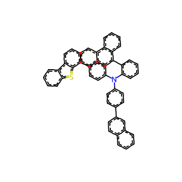 c1ccc(N(c2ccc(-c3ccc4ccccc4c3)cc2)c2ccc(-c3cccc4c3sc3ccccc34)cc2)c(-c2cc3ccccc3c3ccccc23)c1